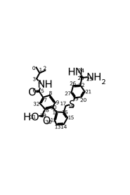 CC(C)CNC(=O)c1ccc(-c2ccccc2CSc2ccc(C(=N)N)cc2)c(C(=O)O)c1